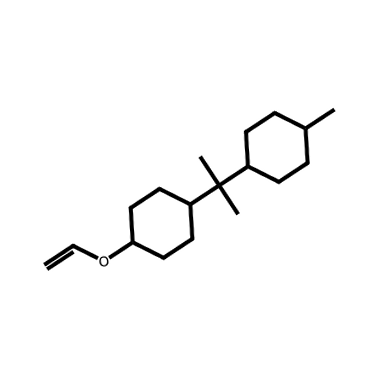 C=COC1CCC(C(C)(C)C2CCC(C)CC2)CC1